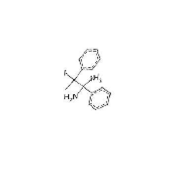 CC(I)(c1ccccc1)C(N)(N)c1ccccc1